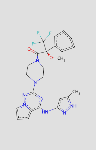 CO[C@](C(=O)N1CCN(c2nc(Nc3cc(C)[nH]n3)c3cccn3n2)CC1)(c1ccccc1)C(F)(F)F